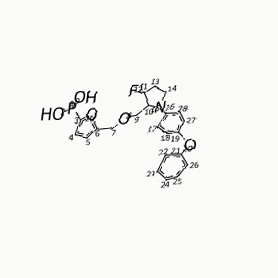 OP(O)c1ccc(COCC2C(F)CCN2c2ccc(Oc3ccccc3)cc2)o1